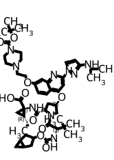 CC[C@@H]1C[C@]1(NC(=O)[C@@H]1C[C@@H](Oc2cc(-n3ccc(NC(C)C)n3)nc3cc(OCCN4CCN(C(=O)OC(C)(C)C)CC4)ccc23)CN1C(=O)[C@@H](NC(=O)OC1CC2CC2C1)C(C)(C)C)C(=O)O